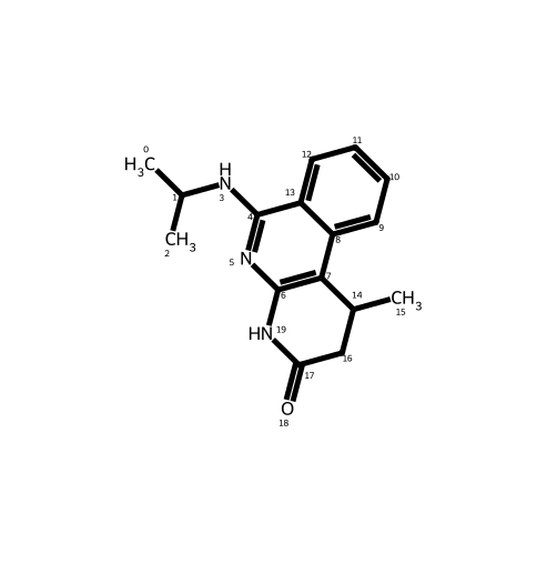 CC(C)Nc1nc2c(c3ccccc13)C(C)CC(=O)N2